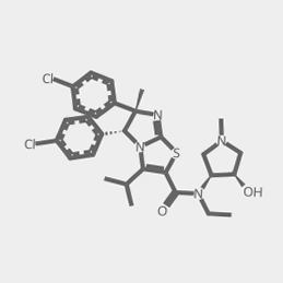 CCN(C(=O)C1=C(C(C)C)N2C(=N[C@@](C)(c3ccc(Cl)cc3)[C@H]2c2ccc(Cl)cc2)S1)[C@H]1CN(C)C[C@H]1O